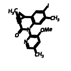 CC#CC(=O)N(c1cc(C)c(I)cc1C1CC1)c1ncc(C)cc1OC